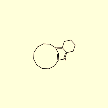 c1c2nc3c(c1CCCCCCCCC2)CCCC3